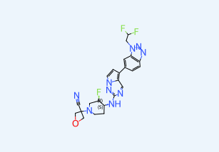 N#CC1(N2CC[C@H](Nc3ncc4c(-c5ccc6nnn(CC(F)F)c6c5)ccn4n3)[C@H](F)C2)COC1